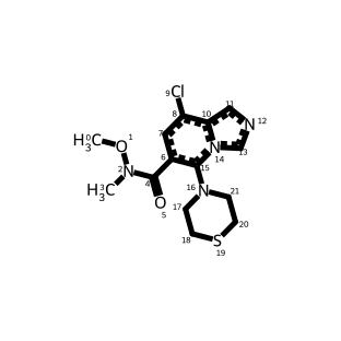 CON(C)C(=O)c1cc(Cl)c2cncn2c1N1CCSCC1